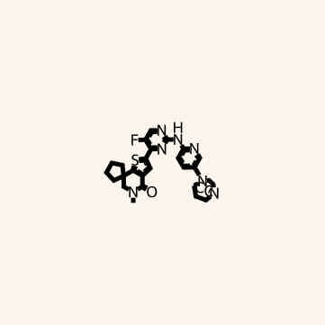 CN1CC2(CCCC2)c2sc(-c3nc(Nc4ccc(N5CCN6CCC5CC6)cn4)ncc3F)cc2C1=O